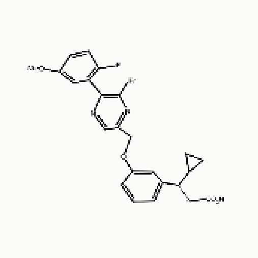 COc1ccc(F)c(-c2ncc(COc3cccc([C@@H](CC(=O)O)C4CC4)c3)nc2C(C)C)c1